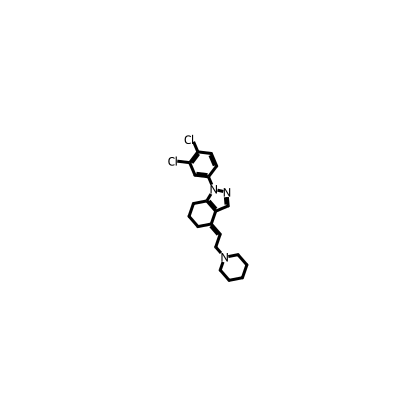 Clc1ccc(-n2ncc3c2CCCC3=CCN2CCCCC2)cc1Cl